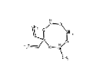 C=C[Si]1(C=C)O[SiH2]O[SiH2]O[SiH](C)O1